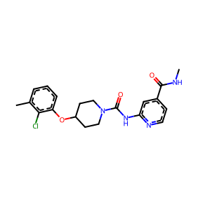 CNC(=O)c1ccnc(NC(=O)N2CCC(Oc3cccc(C)c3Cl)CC2)c1